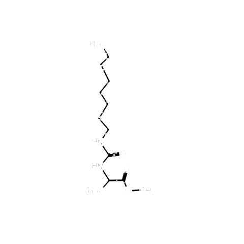 CCCCCCCCNC(=O)NC(C)C(=O)OC